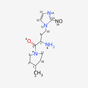 CC1CCN(C(=O)C(N)CCn2ccnc2N=O)CC1